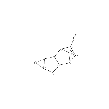 ClC1=CC2CC1C1C2CC2OC21